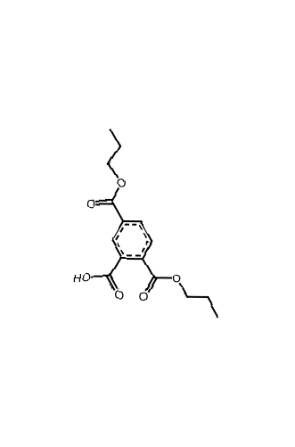 CCCOC(=O)c1ccc(C(=O)OCCC)c(C(=O)O)c1